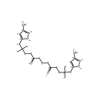 CC(C)(CCC(=O)CCCC(=O)CCC(C)(C)Cc1cc(O)no1)Cc1cc(O)no1